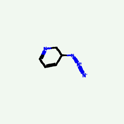 [N-]=[N+]=NC1C=CC=NC1